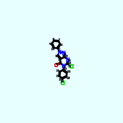 O=c1c2cn(-c3ccccc3)nc2nc(Cl)n1-c1ccc(Cl)cc1